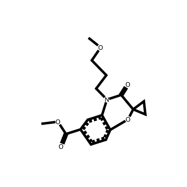 COCCCN1C(=O)C2(CC2)Oc2ccc(C(=O)OC)cc21